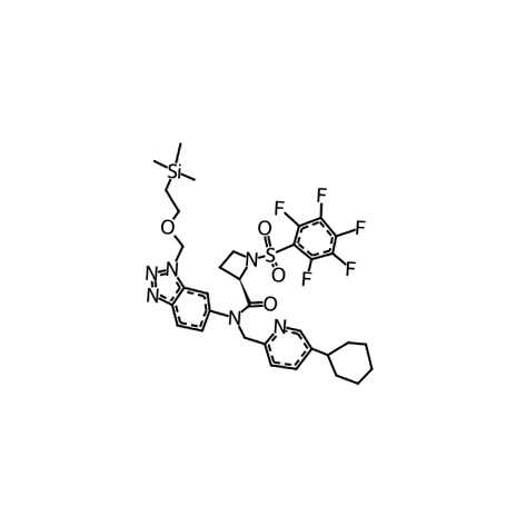 C[Si](C)(C)CCOCn1nnc2ccc(N(Cc3ccc(C4CCCCC4)cn3)C(=O)[C@H]3CCN3S(=O)(=O)c3c(F)c(F)c(F)c(F)c3F)cc21